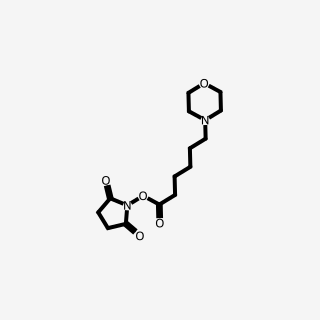 O=C(CCCCCN1CCOCC1)ON1C(=O)CCC1=O